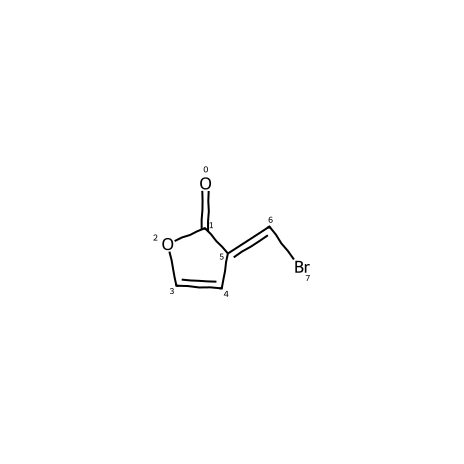 O=C1OC=CC1=CBr